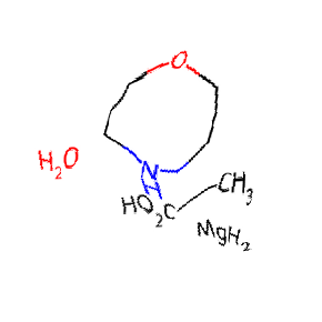 C1COCCN1.CC(=O)O.O.[MgH2]